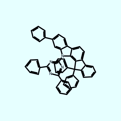 c1ccc(-c2ccc3c4ccc5c(c4n(-c4nc(-c6ccccc6)nc(-c6ccccc6)n4)c3c2)C(c2ccccc2)(c2ccccc2)c2ccccc2-5)cc1